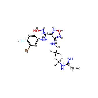 CC(=O)NC(=N)NC(C)(C)CC(C)(C)CNc1nonc1/C(=N/O)Nc1ccc(F)c(Br)c1